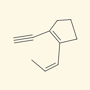 C#CC1=C(/C=C\C)CCC1